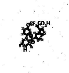 CC1CN(c2ccc(OC(F)(F)F)cc2)C(S(=O)(=O)c2ccc3scc(CC(=O)O)c3c2)C(C)N1